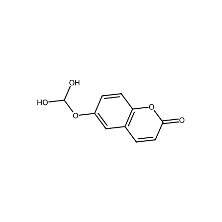 O=c1ccc2cc(OC(O)O)ccc2o1